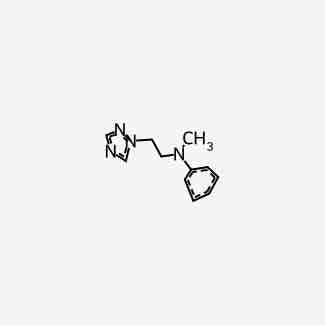 CN(CCn1cncn1)c1ccccc1